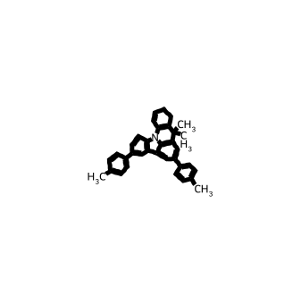 Cc1ccc(-c2ccc3c(c2)c2cc(-c4ccc(C)cc4)cc4c2n3C2=C(CCC=C2)C4(C)C)cc1